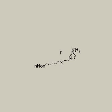 CCCCCCCCCCCCCCSCCn1cc[n+](C)c1.[I-]